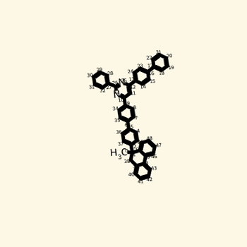 CC1(c2ccc(-c3ccc(-c4cc(-c5ccc(-c6ccccc6)cc5)nc(-c5ccccc5)n4)cc3)cc2)Cc2ccccc2-c2ccccc21